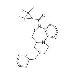 CC1(C)C(C(=O)N2CCC3CN(Cc4ccccc4)CCN3c3ncccc32)C1(C)C